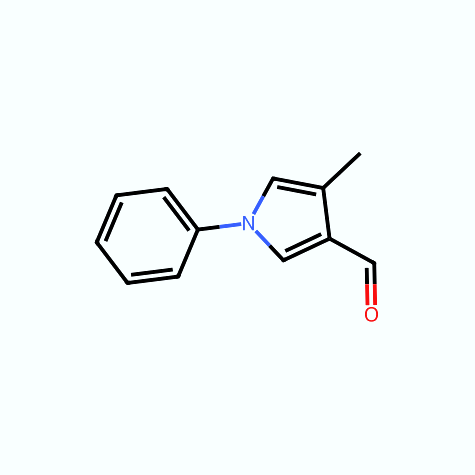 Cc1cn(-c2ccccc2)cc1C=O